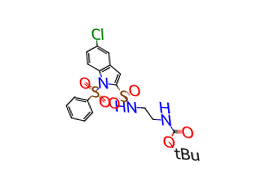 CC(C)(C)OC(=O)NCCNS(=O)(=O)c1cc2cc(Cl)ccc2n1S(=O)(=O)c1ccccc1